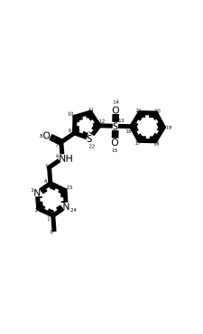 Cc1cnc(CNC(=O)c2ccc(S(=O)(=O)c3ccccc3)s2)cn1